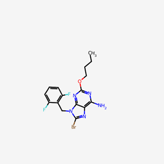 CCCCOc1nc(N)c2nc(Br)n(Cc3c(F)cccc3F)c2n1